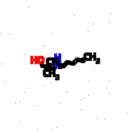 C=CCCCCNCC(C)(C)CO